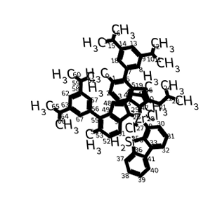 Cc1ccc2c(c1-c1cc(C(C)C)cc(C(C)C)c1)C=C(CC(C)C)[CH]2[Zr]([Cl])([Cl])([c]1cccc2c1[SiH2]c1ccccc1-2)[CH]1C(CC(C)C)=Cc2c1ccc(C)c2-c1cc(C(C)C)cc(C(C)C)c1